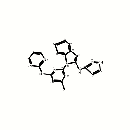 Cc1nc(Nc2ncccn2)nc(-n2c(Nc3cc[nH]n3)nc3ccccc32)n1